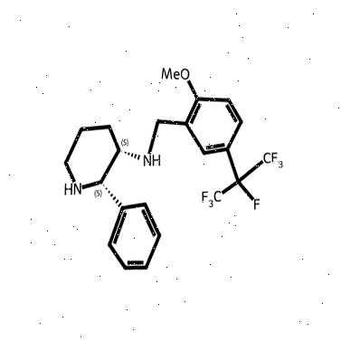 COc1ccc(C(F)(C(F)(F)F)C(F)(F)F)cc1CN[C@H]1CCCN[C@H]1c1ccccc1